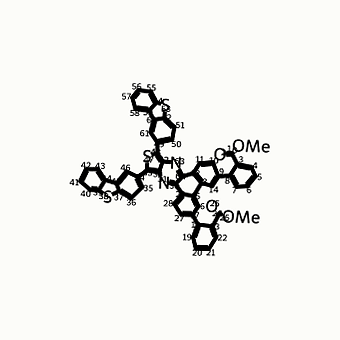 COC(=O)c1ccccc1-c1ccc2c(c1)c1cc(-c3ccccc3C(=O)OC)ccc1c1nc3c(-c4ccc5sc6ccccc6c5c4)sc(-c4ccc5sc6ccccc6c5c4)c3nc21